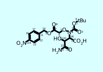 CC(C)(C)OC(=O)N(OCC(=O)OCc1ccc([N+](=O)[O-])cc1)C(C(=O)O)C(O)C(N)=O